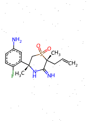 C=CC[C@]1(C)C(=N)N[C@](C)(c2cc(N)ccc2F)CS1(=O)=O